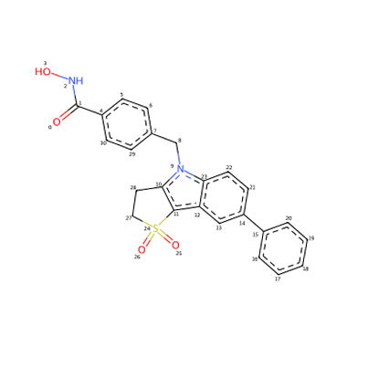 O=C(NO)c1ccc(Cn2c3c(c4cc(-c5ccccc5)ccc42)S(=O)(=O)CC3)cc1